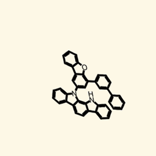 c1ccc(-c2cccc(-c3cc(-n4c5ccccc5c5ccc6c7ccccc7[nH]c6c54)cc4c3oc3ccccc34)c2)cc1